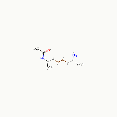 CCCCCCCCCCC(=O)N[C@@H](CSSC[C@H](N)C(=O)O)C(=O)O